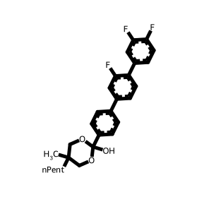 CCCCCC1(C)COC(O)(c2ccc(-c3ccc(-c4ccc(F)c(F)c4)c(F)c3)cc2)OC1